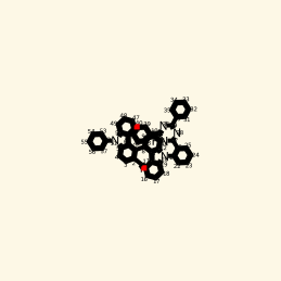 N#Cc1ccc2c(c1-c1cccc3c1c1ccccc1n3-c1ccccc1C1N=C(c3ccccc3)N=C(c3ccccc3)N1)c1ccccc1n2-c1ccccc1